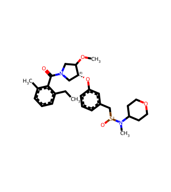 CCc1cccc(C)c1C(=O)N1CC(OC)[C@H](Oc2cccc(C[S+]([O-])N(C)C3CCOCC3)c2)C1